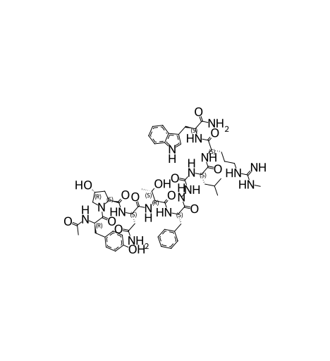 CNC(=N)NCCC[C@H](NC(=O)[C@H](CC(C)C)NC(=O)NNC(=O)[C@H](Cc1ccccc1)NC(=O)[C@H](NC(=O)[C@H](CC(N)=O)NC(=O)[C@@H]1C[C@@H](O)CN1C(=O)[C@@H](Cc1ccc(O)cc1)NC(C)=O)[C@H](C)O)C(=O)N[C@@H](Cc1c[nH]c2ccccc12)C(N)=O